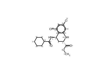 COC(=O)[C@@H]1C[C@@H](NC(=O)C2CCCCC2)c2c(Cl)cc(Cl)cc2N1